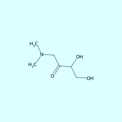 CN(C)CC(=O)C(O)CO